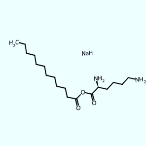 CCCCCCCCCCCC(=O)OC(=O)[C@@H](N)CCCCN.[NaH]